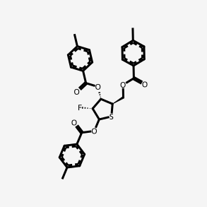 Cc1ccc(C(=O)OC[C@H]2SC(OC(=O)c3ccc(C)cc3)[C@H](F)[C@@H]2OC(=O)c2ccc(C)cc2)cc1